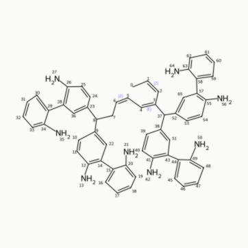 C\C=C/C(=C\C=C/CC(c1ccc(N)c(-c2ccccc2N)c1)c1ccc(N)c(-c2ccccc2N)c1)C(c1ccc(N)c(-c2ccccc2N)c1)c1ccc(N)c(-c2ccccc2N)c1